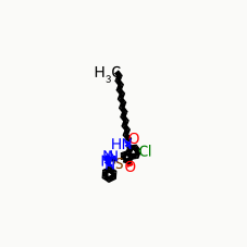 CCCCCCCCCCCCCCCC(=O)Nc1cc(Cl)cc2c1CC(Sc1nnnn1-c1ccccc1)C2=O